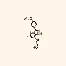 COc1ccc(-c2n[nH]c3c(NCCO)cc(C)nc23)cc1